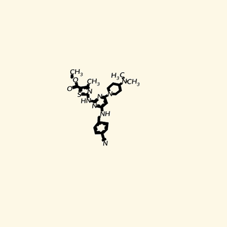 CCOC(=O)c1sc(Nc2nc(NCc3ccc(C#N)cc3)cc(N3CCC(N(C)C)CC3)n2)nc1C